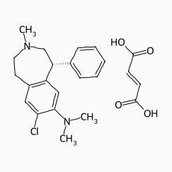 CN1CCc2cc(Cl)c(N(C)C)cc2[C@@H](c2ccccc2)C1.O=C(O)C=CC(=O)O